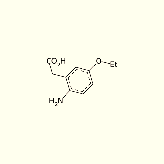 CCOc1ccc(N)c(CC(=O)O)c1